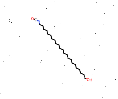 O=C=NCCCCCCCCCCCCCCCCCCCCCCCO